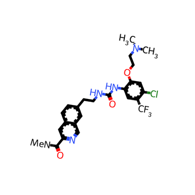 CNC(=O)c1cc2ccc(CCNC(=O)Nc3cc(C(F)(F)F)c(Cl)cc3OCCN(C)C)cc2cn1